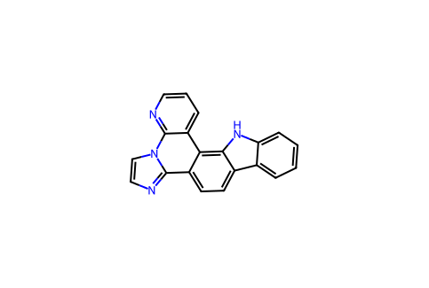 c1ccc2c(c1)[nH]c1c2ccc2c1c1cccnc1n1ccnc21